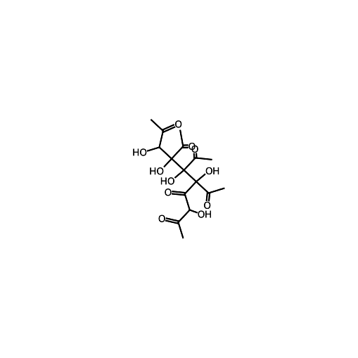 CC(=O)C(O)C(=O)C(O)(C(C)=O)C(O)(C(C)=O)C(O)(C(C)=O)C(O)C(C)=O